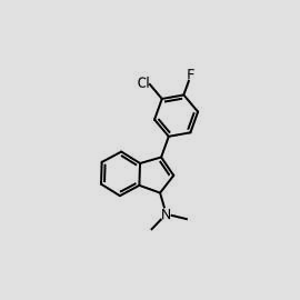 CN(C)C1C=C(c2ccc(F)c(Cl)c2)c2ccccc21